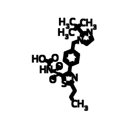 CCCc1nc(-c2ccc(Cn3ccnc3C(C)(C)C)cc2)c(S(=O)(=O)NC(=O)O)s1